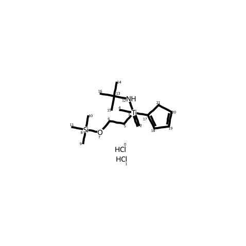 Cl.Cl.[CH2]=[Ti]([CH3])([CH2]CO[Si](C)(C)C)([NH]C(C)(C)C)[C]1=CC=CC1